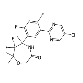 CC1(C)OCC(=O)NC(C)(c2cc(-c3ncc(Cl)cn3)c(F)cc2F)C1(F)F